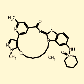 Cc1cc2cc(n1)-c1cnn(C)c1OCCC[C@@H](C)CN1/C(=N/C2=O)Nc2ccc(N[SH]3(=O)CCCCC3)cc21